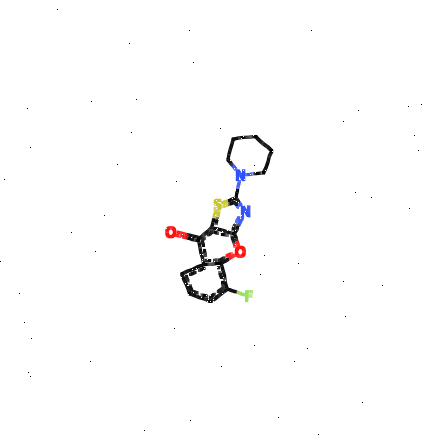 O=c1c2cccc(F)c2oc2nc(N3CCCCC3)sc12